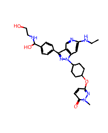 CCNc1cc2c(cn1)c(-c1ccc(C(O)NCCO)cc1)nn2C1CCC(Oc2ccc(=O)n(C)n2)CC1